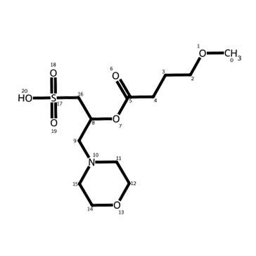 COCCCC(=O)OC(CN1CCOCC1)CS(=O)(=O)O